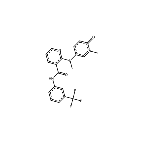 CN(c1ccc(=O)n(C)c1)c1ncccc1C(=O)Nc1cccc(C(F)(F)F)c1